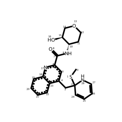 CSC1(Cc2cc(C(=O)N[C@H]3CCOC[C@@H]3O)nc3ccccc23)C=CC=CN1